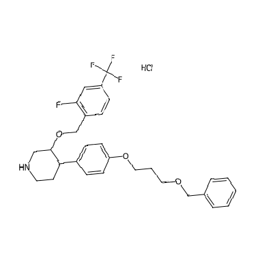 Cl.Fc1cc(C(F)(F)F)ccc1COC1CNCCC1c1ccc(OCCCOCc2ccccc2)cc1